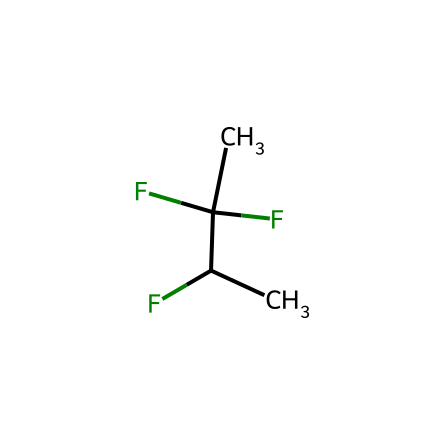 CC(F)C(C)(F)F